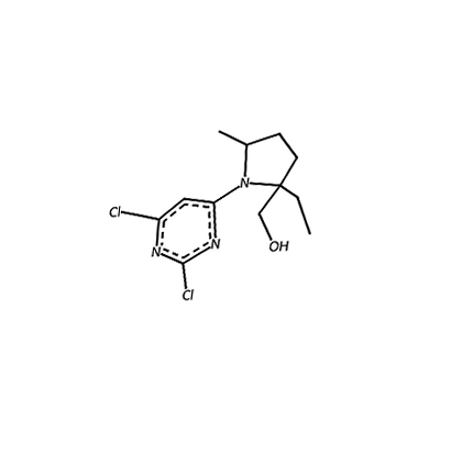 CCC1(CO)CCC(C)N1c1cc(Cl)nc(Cl)n1